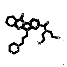 CC(C)CCN(CCC(C)C)C(=O)c1ccc2c(c1)n(CCCN1CCCCC1)c1nc3c(c(=O)n21)CCCC3